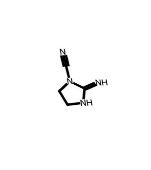 N#CN1CCNC1=N